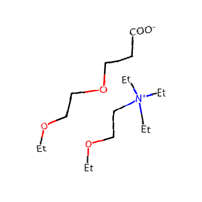 CCOCCOCCC(=O)[O-].CCOCC[N+](CC)(CC)CC